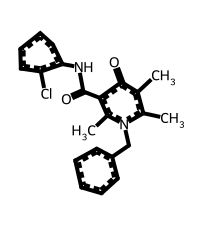 Cc1c(C)n(Cc2ccccc2)c(C)c(C(=O)Nc2ccccc2Cl)c1=O